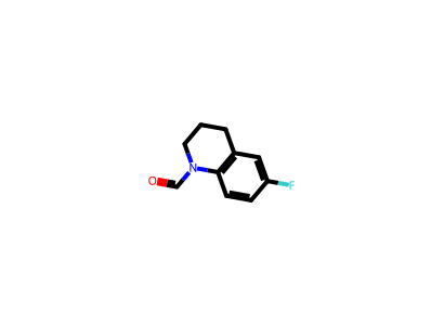 O=CN1CCCc2cc(F)ccc21